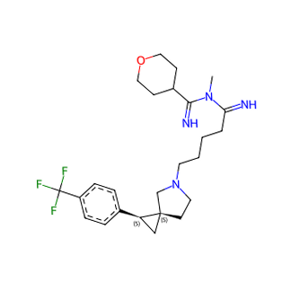 CN(C(=N)CCCCN1CC[C@]2(C[C@H]2c2ccc(C(F)(F)F)cc2)C1)C(=N)C1CCOCC1